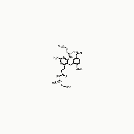 CCCC[C@@H](CCSC)NC(=O)CCc1nc(N)nc(N[C@@H](CCCC)CCSC)c1Cc1cc(CC#N)ccc1OC